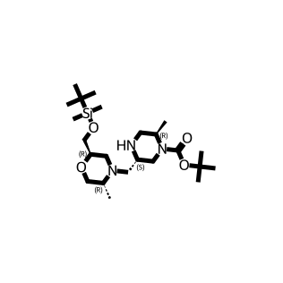 C[C@@H]1CO[C@@H](CO[Si](C)(C)C(C)(C)C)CN1C[C@H]1CN(C(=O)OC(C)(C)C)[C@H](C)CN1